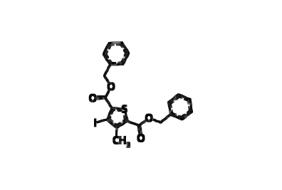 Cc1c(C(=O)OCc2ccccc2)sc(C(=O)OCc2ccccc2)c1I